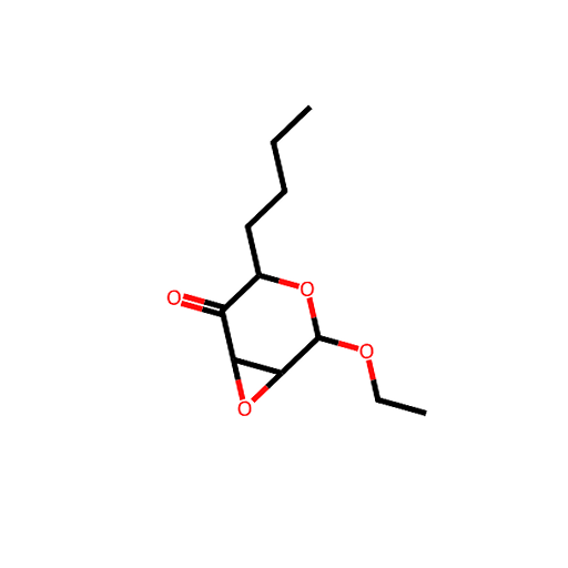 CCCCC1OC(OCC)C2OC2C1=O